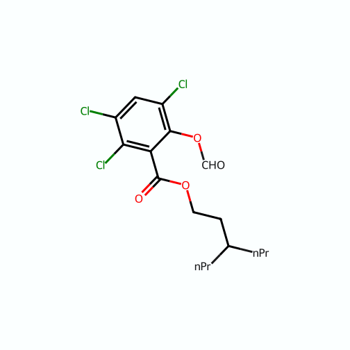 CCCC(CCC)CCOC(=O)c1c(Cl)c(Cl)cc(Cl)c1OC=O